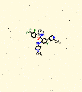 Cc1cc(-c2cc(C(=O)N[C@H](C)c3cccc(C(F)F)c3F)c(NC3CCN(C)CC3)cc2F)ccn1